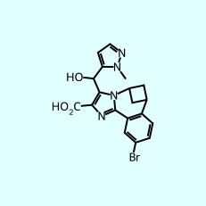 Cn1nccc1C(O)c1c(C(=O)O)nc2n1C1CC(C1)c1ccc(Br)cc1-2